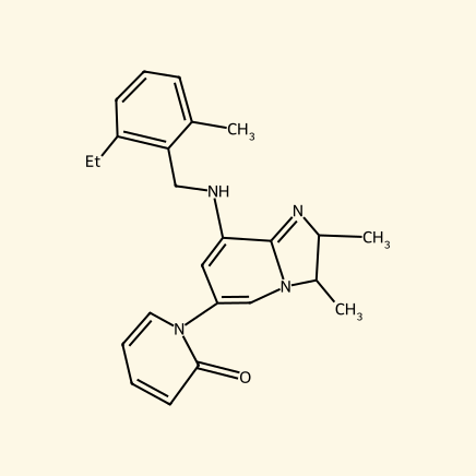 CCc1cccc(C)c1CNC1=CC(n2ccccc2=O)=CN2C1=NC(C)C2C